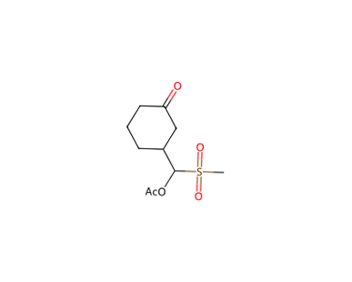 CC(=O)OC(C1CCCC(=O)C1)S(C)(=O)=O